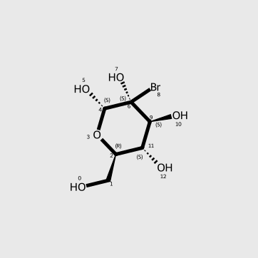 OC[C@H]1O[C@H](O)[C@@](O)(Br)[C@@H](O)[C@@H]1O